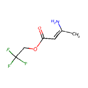 C/C(N)=C/C(=O)OCC(F)(F)F